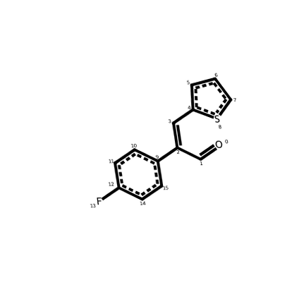 O=C/C(=C\c1cccs1)c1ccc(F)cc1